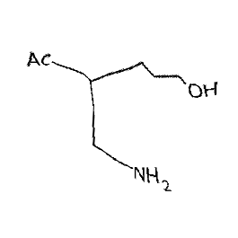 CC(=O)C(CN)CO